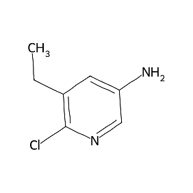 CCc1cc(N)cnc1Cl